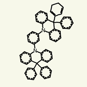 C1=CC(C2(c3ccccc3)c3ccccc3N(c3cccc(N4c5ccccc5C(c5ccccc5)(c5ccccc5)c5ccccc54)c3)c3ccccc32)=CCC1